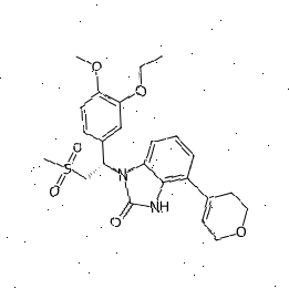 CCOc1cc([C@@H](CS(C)(=O)=O)n2c(=O)[nH]c3c(C4=CCOCC4)cccc32)ccc1OC